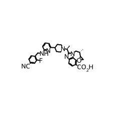 C[C@@H](Cn1c([C@H](C)N2CCC(c3cccc(NCc4ccc(C#N)cc4F)n3)CC2)nc2ccc(C(=O)O)cc21)C1CO1